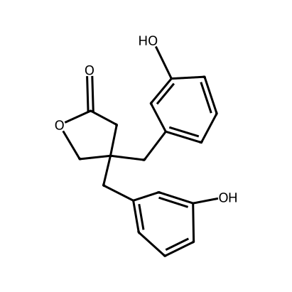 O=C1CC(Cc2cccc(O)c2)(Cc2cccc(O)c2)CO1